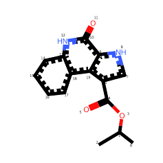 CC(C)OC(=O)c1c[nH]c2c(=O)[nH]c3ccccc3c12